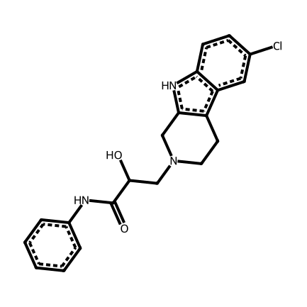 O=C(Nc1ccccc1)C(O)CN1CCc2c([nH]c3ccc(Cl)cc23)C1